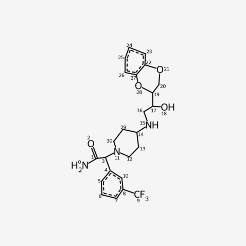 NC(=O)C(c1cccc(C(F)(F)F)c1)N1CCC(NCC(O)C2COc3ccccc3O2)CC1